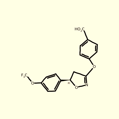 O=C(O)c1ccc(OC2=NO[C@@H](c3ccc(OC(F)(F)F)cc3)C2)cc1